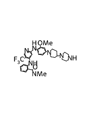 CNC(=O)c1ccccc1Nc1cc(Nc2ccc(N3CCC(N4CCNCC4)CC3)cc2OC)ncc1C(F)(F)F